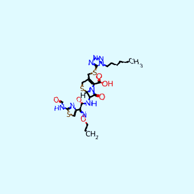 C=CCON=C(C(=O)NC1C(=O)N2C(C(=O)O)=C(CSc3nnnn3CCCCCC)CS[C@@H]12)c1csc(NC=O)n1